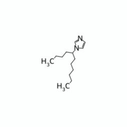 CCCCCCC(CCCC)n1ccnc1